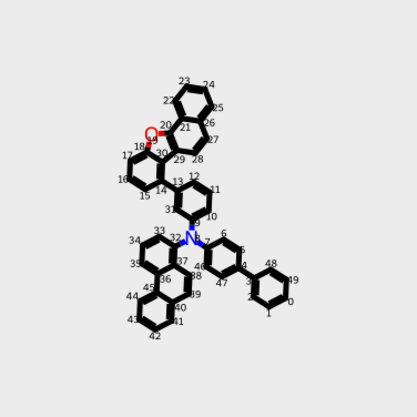 c1ccc(-c2ccc(N(c3cccc(-c4cccc5oc6c7ccccc7ccc6c45)c3)c3cccc4c3ccc3ccccc34)cc2)cc1